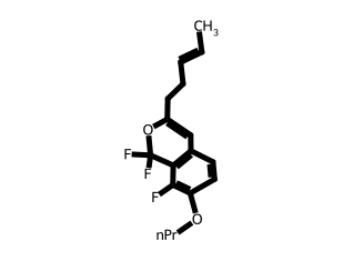 C/C=C/CCC1=Cc2ccc(OCCC)c(F)c2C(F)(F)O1